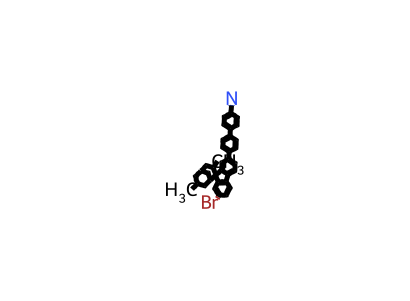 CC1CC2CC(C)C3(c4cc(Br)ccc4-c4ccc(-c5ccc(-c6ccc(C#N)cc6)cc5)cc43)C(C1)C2